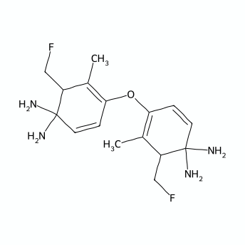 CC1=C(OC2=C(C)C(CF)C(N)(N)C=C2)C=CC(N)(N)C1CF